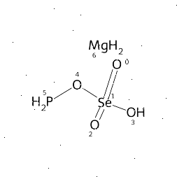 O=[Se](=O)(O)OP.[MgH2]